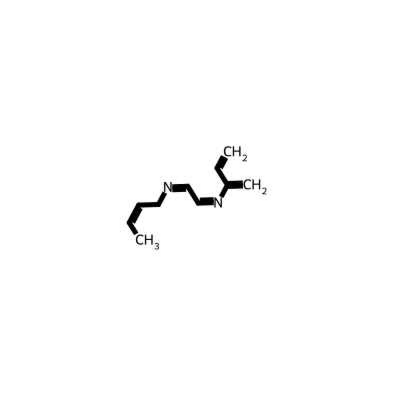 C=CC(=C)/N=C\C=N/C/C=C\C